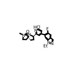 CCn1ncc2cc(F)c(-c3ccnc([C@H]4CC[C@@]5(CCN(C)C5=O)N4)c3)cc21.Cl